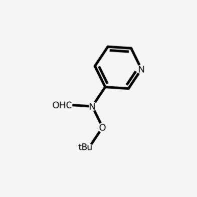 CC(C)(C)ON(C=O)c1cccnc1